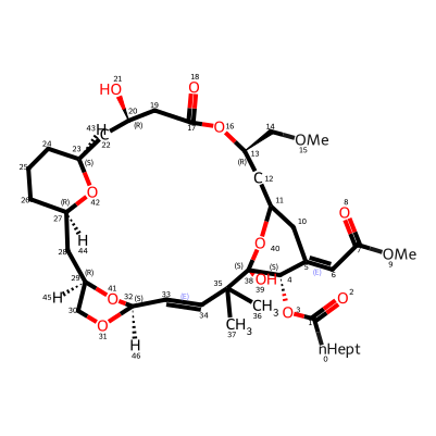 CCCCCCCC(=O)O[C@H]1/C(=C/C(=O)OC)CC2C[C@H](COC)OC(=O)C[C@H](O)C[C@@H]3CCC[C@H](C[C@@H]4CO[C@H](/C=C/C(C)(C)[C@]1(O)O2)O4)O3